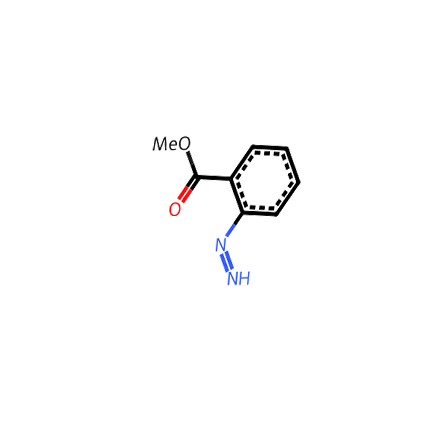 COC(=O)c1ccccc1N=N